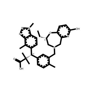 CC[C@H]1CN(Cc2cc([C@@H](c3ccc4c(nnn4C)c3C)C(C)(C)C(=O)O)ccc2C)Cc2nc(O)ccc2O1